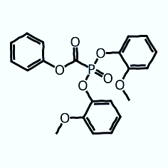 COc1ccccc1OP(=O)(Oc1ccccc1OC)C(=O)Oc1ccccc1